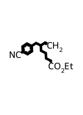 C=CC(CCCCC(=O)OCC)Cc1ccc(C#N)cc1